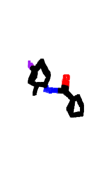 Cc1cc(I)ccc1NC(=O)c1ccccc1